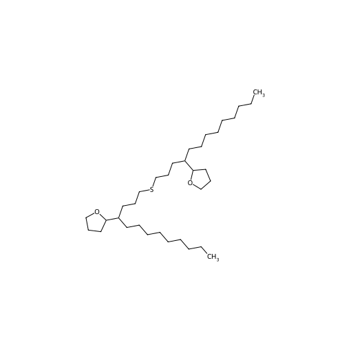 CCCCCCCCCC(CCCSCCCC(CCCCCCCCC)C1CCCO1)C1CCCO1